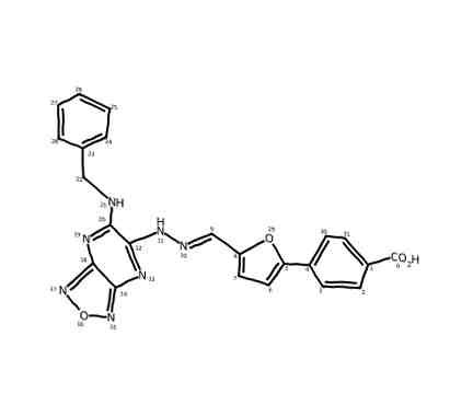 O=C(O)c1ccc(-c2ccc(C=NNc3nc4nonc4nc3NCc3ccccc3)o2)cc1